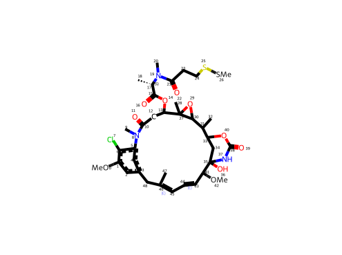 COc1cc2cc(c1Cl)N(C)C(=O)CC(OC(=O)[C@H](C)N(C)C(=O)CCSSC)C1(C)OC1C(C)C1CC(O)(NC(=O)O1)C(OC)/C=C/C=C(\C)C2